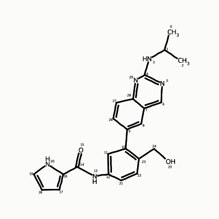 CC(C)Nc1ncc2cc(-c3cc(NC(=O)c4ccc[nH]4)ccc3CO)ccc2n1